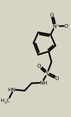 CNCCNS(=O)(=O)Cc1cccc([N+](=O)[O-])c1